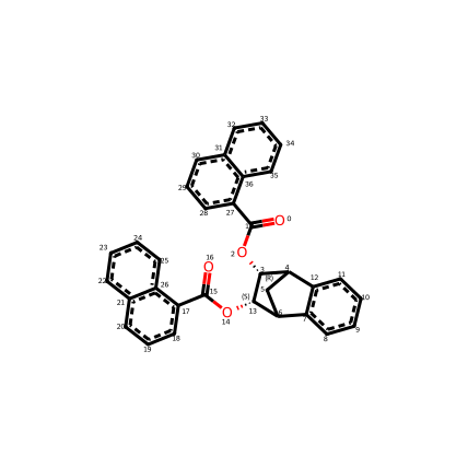 O=C(O[C@@H]1C2CC(c3ccccc32)[C@@H]1OC(=O)c1cccc2ccccc12)c1cccc2ccccc12